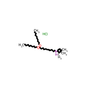 CCCCCCCCCCOC(CCCCCC=CCCCPc1ccc(C)c(C)c1C)OCCCCCCCCCC.Cl